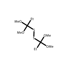 CCC(OC)(OC)SSC(CC)(OC)OC